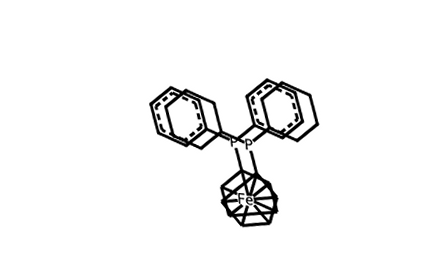 c1ccc(P(c2ccccc2)[C]23[CH]4[CH]5[CH]6[CH]2[Fe]56432789[CH]3[CH]2[CH]7[C]8(P(C2CCCCC2)C2CCCCC2)[CH]39)cc1